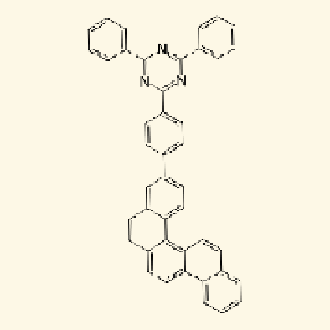 c1ccc(-c2nc(-c3ccccc3)nc(-c3ccc(-c4ccc5c(ccc6ccc7c8ccccc8ccc7c65)c4)cc3)n2)cc1